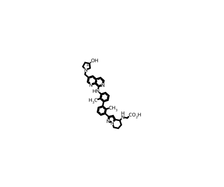 Cc1c(Nc2nccc3cc(CN4CC[C@@H](O)C4)cnc23)cccc1-c1cccc(-c2cc3n(n2)CCCC3NCC(=O)O)c1C